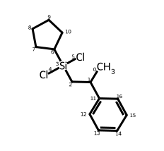 CC(C[Si](Cl)(Cl)C1CCCC1)c1ccccc1